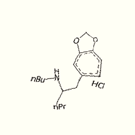 CCCCNC(CCC)Cc1ccc2c(c1)OCO2.Cl